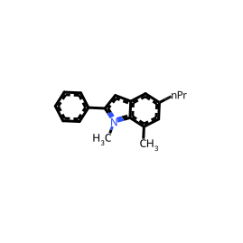 CCCc1cc(C)c2c(c1)cc(-c1ccccc1)n2C